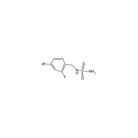 CC(C)c1ccc(CNS(N)(=O)=O)c(F)c1